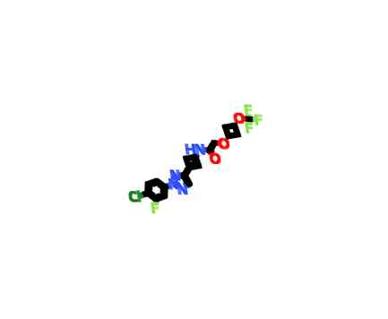 O=C(CO[C@H]1C[C@@H](OC(F)(F)F)C1)NC12CC(c3cnn(-c4ccc(Cl)c(F)c4)n3)(C1)C2